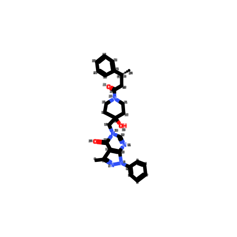 Cc1nn(-c2ccccc2)c2ncn(CC3(O)CCN(C(=O)C[C@@H](C)c4ccccc4)CC3)c(=O)c12